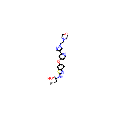 CC(C)CC(CO)Nc1nc2ccc(Oc3ccnc(-c4cnn(CCN5CCOCC5)c4)c3)cc2s1